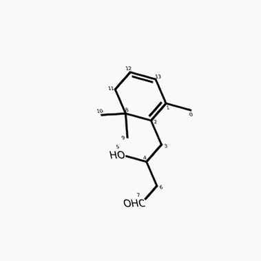 CC1=C(CC(O)CC=O)C(C)(C)CC=C1